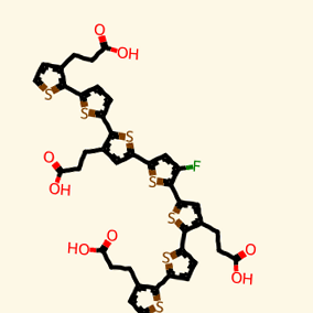 O=C(O)CCc1ccsc1-c1ccc(-c2sc(-c3cc(F)c(-c4cc(CCC(=O)O)c(-c5ccc(-c6sccc6CCC(=O)O)s5)s4)s3)cc2CCC(=O)O)s1